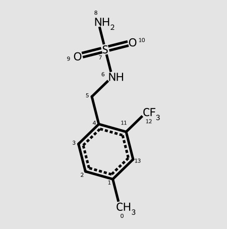 Cc1ccc(CNS(N)(=O)=O)c(C(F)(F)F)c1